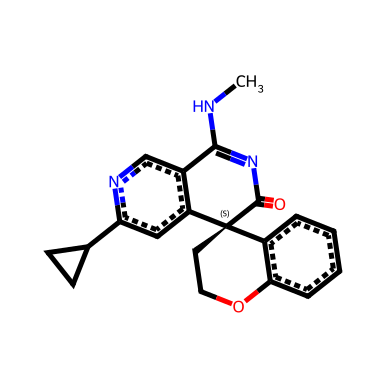 CNC1=NC(=O)[C@@]2(CCOc3ccccc32)c2cc(C3CC3)ncc21